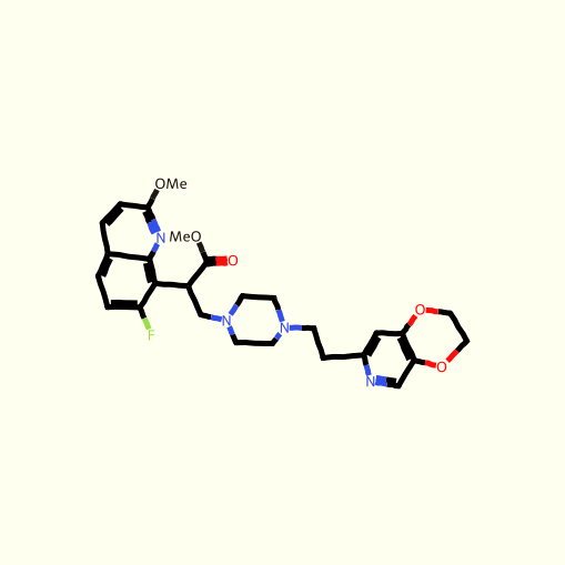 COC(=O)C(CN1CCN(CCc2cc3c(cn2)OCCO3)CC1)c1c(F)ccc2ccc(OC)nc12